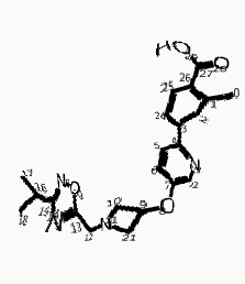 Cc1cc(-c2ccc(OC3CN(Cc4nc(C(C)C)no4)C3)cn2)ccc1C(=O)O